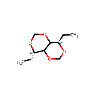 CC[C@@H]1OCOC2C1OCO[C@@H]2CC